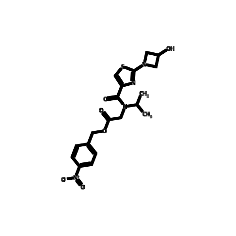 CC(C)N(CC(=O)OCc1ccc([N+](=O)[O-])cc1)C(=O)c1csc(N2CC(O)C2)n1